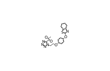 CS(=O)(=O)c1nnnn1CCOc1ccc(Oc2nc3ccccc3s2)cc1